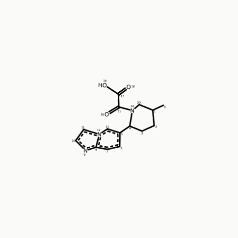 CC1CCC(c2ccc3nccn3c2)N(C(=O)C(=O)O)C1